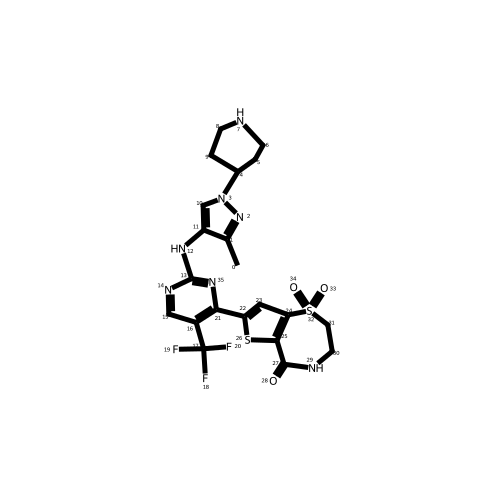 Cc1nn(C2CCNCC2)cc1Nc1ncc(C(F)(F)F)c(-c2cc3c(s2)C(=O)NCCS3(=O)=O)n1